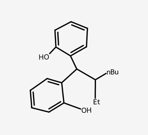 CCCCC(CC)C(c1ccccc1O)c1ccccc1O